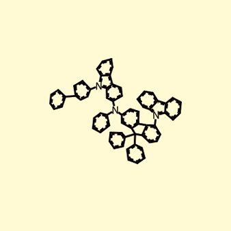 c1ccc(-c2ccc(-n3c4ccccc4c4ccc(N(c5ccccc5)c5ccc6c(c5)C(c5ccccc5)(c5ccccc5)c5cccc(-n7c8ccccc8c8ccccc87)c5-6)cc43)cc2)cc1